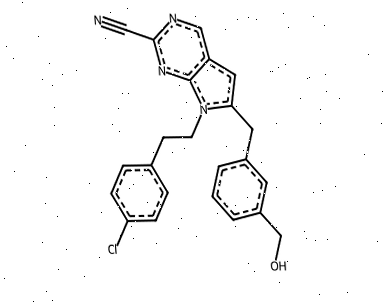 N#Cc1ncc2cc(Cc3cccc(CO)c3)n(CCc3ccc(Cl)cc3)c2n1